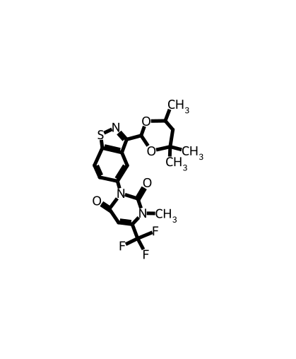 CC1CC(C)(C)OC(c2nsc3ccc(-n4c(=O)cc(C(F)(F)F)n(C)c4=O)cc23)O1